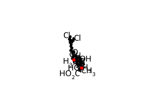 C[C@H](CCC(=O)O)[C@H]1CC[C@H]2[C@@H]3[C@H](O)C[C@@H]4C[C@H](OC(=O)CCCCCN(CCCl)CCCl)CC[C@]4(C)[C@H]3C[C@H](O)[C@]12C